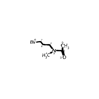 CC(=O)N(C)CCCBr